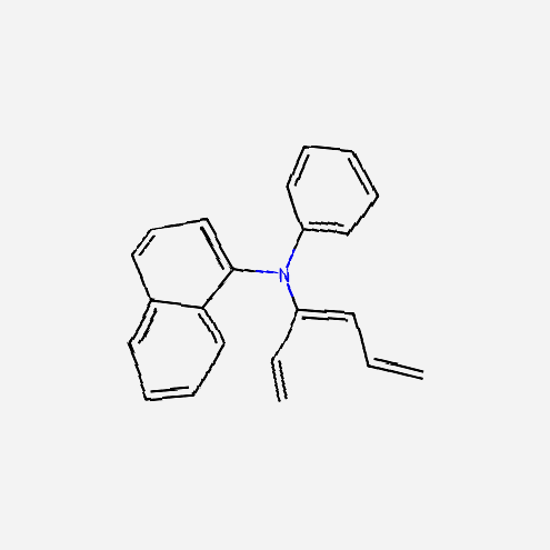 C=C/C=C(\C=C)N(c1ccccc1)c1cccc2ccccc12